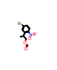 CC(CO[C]=O)c1cc(Br)ccc1[N+](=O)[O-]